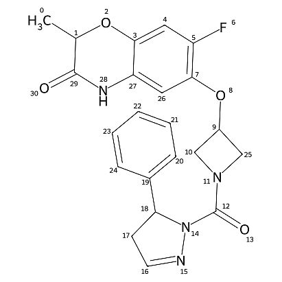 CC1Oc2cc(F)c(OC3CN(C(=O)N4N=CCC4c4ccccc4)C3)cc2NC1=O